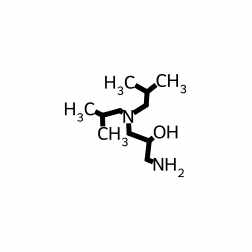 CC(C)CN(CC(C)C)CC(O)CN